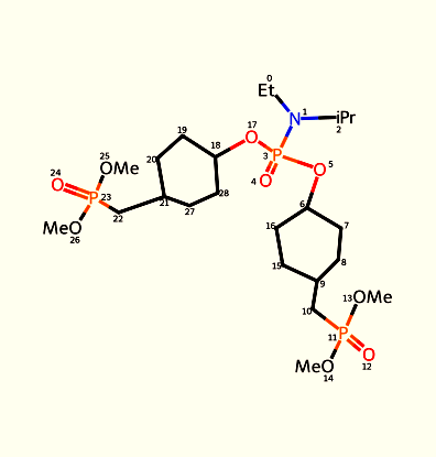 CCN(C(C)C)P(=O)(OC1CCC(CP(=O)(OC)OC)CC1)OC1CCC(CP(=O)(OC)OC)CC1